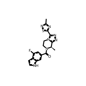 Cc1nsc(-c2nnc3n2CCN(C(=O)c2cc(F)c4cc[nH]c4c2)[C@@H]3C)n1